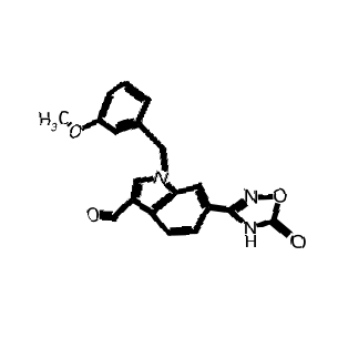 COc1cccc(Cn2cc(C=O)c3ccc(-c4noc(=O)[nH]4)cc32)c1